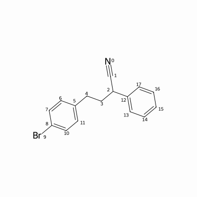 N#CC(CCc1ccc(Br)cc1)c1ccccc1